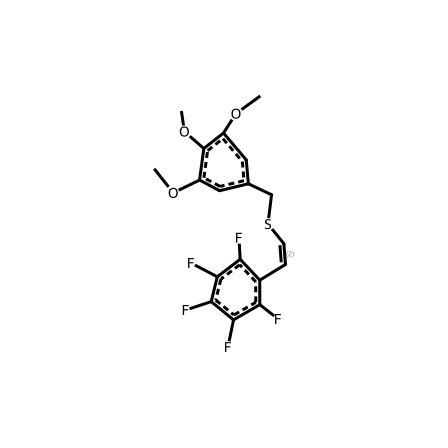 COc1cc(CS/C=C\c2c(F)c(F)c(F)c(F)c2F)cc(OC)c1OC